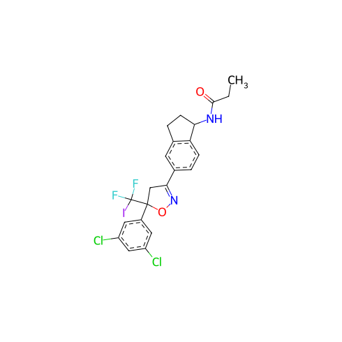 CCC(=O)NC1CCc2cc(C3=NOC(c4cc(Cl)cc(Cl)c4)(C(F)(F)I)C3)ccc21